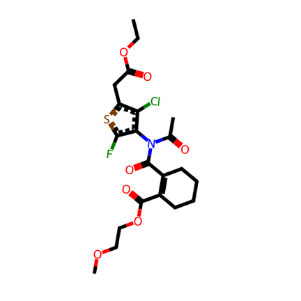 CCOC(=O)Cc1sc(F)c(N(C(C)=O)C(=O)C2=C(C(=O)OCCOC)CCCC2)c1Cl